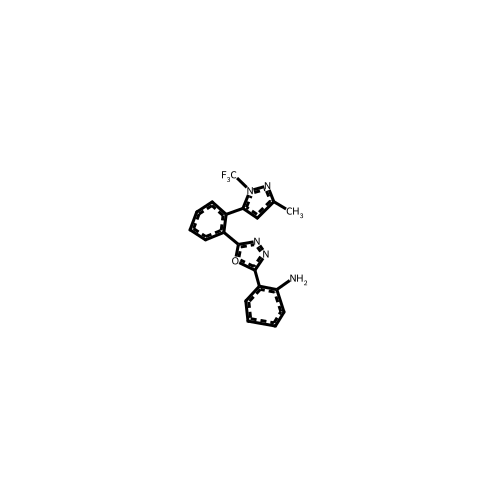 Cc1cc(-c2ccccc2-c2nnc(-c3ccccc3N)o2)n(C(F)(F)F)n1